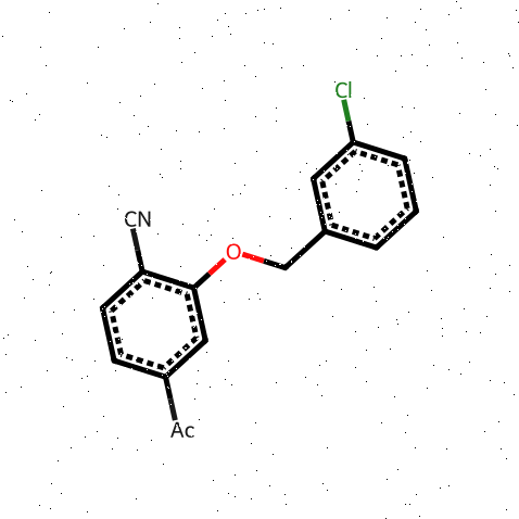 CC(=O)c1ccc(C#N)c(OCc2cccc(Cl)c2)c1